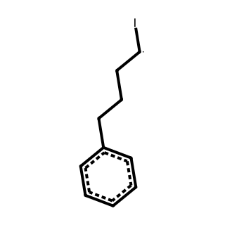 I[CH]CCCc1ccccc1